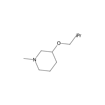 CC(C)COC1CCCN(C)C1